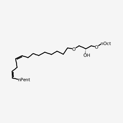 CCCCC/C=C\C/C=C\CCCCCCCCOC[C@@H](O)COCCCCCCCC